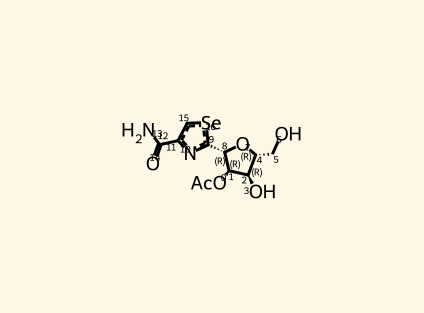 CC(=O)O[C@@H]1[C@H](O)[C@@H](CO)O[C@H]1c1nc(C(N)=O)c[se]1